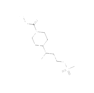 CC(CCOS(C)(=O)=O)C1CCN(C(=O)OC(C)(C)C)CC1